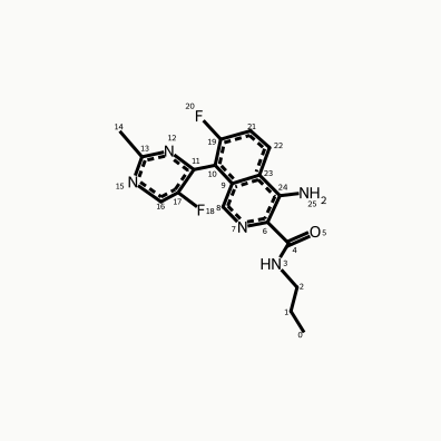 CCCNC(=O)c1ncc2c(-c3nc(C)ncc3F)c(F)ccc2c1N